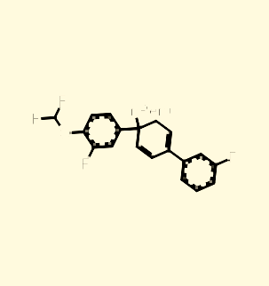 CCCCCC1(c2ccc(OC(F)F)c(F)c2)C=CC(c2cccc(F)c2)=CC1